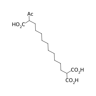 CC(=O)C(CCCCCCCCCCC(C(=O)O)C(=O)O)C(=O)O